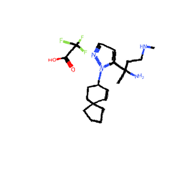 CNCCC(C)(N)c1ccnn1C1CCC2(CCCC2)CC1.O=C(O)C(F)(F)F